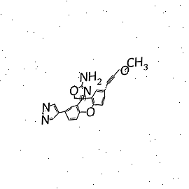 COCC#Cc1ccc2c(c1)[C@]1(COC(N)=N1)c1cc(-c3cncnc3)ccc1O2